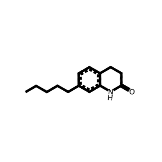 CCCCCc1ccc2c(c1)NC(=O)CC2